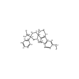 COc1ccc2[nH]c3c(c2c1)CCOC31CCC(c2ccccc2)(N(C)C)CC1